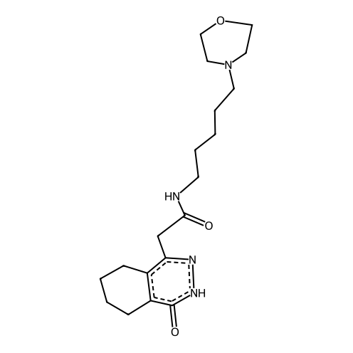 O=C(Cc1n[nH]c(=O)c2c1CCCC2)NCCCCCN1CCOCC1